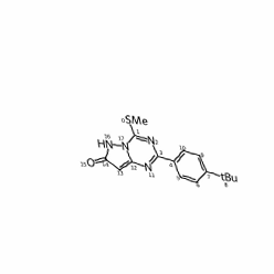 CSc1nc(-c2ccc(C(C)(C)C)cc2)nc2cc(=O)[nH]n12